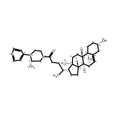 CC(CCC(=O)N1CCN(c2ccncc2)[C@@H](C)C1)[C@H]1CC[C@H]2[C@@H]3CC=C4C[C@@H](O)CC[C@]4(C)[C@H]3CC[C@]12C